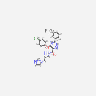 O=C(NCCCn1ccnc1)c1nnc(-c2cccc(C(F)(F)F)c2)nc1Oc1ccc(Cl)cc1